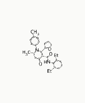 CCc1cccc(CC)c1NC(=O)c1c(-c2ccco2)n(-c2ccc(C)cc2)c(C)cc1=O